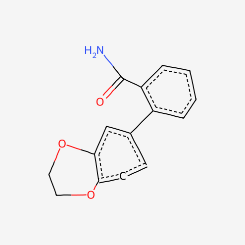 NC(=O)c1ccccc1-c1ccc2c(c1)OCCO2